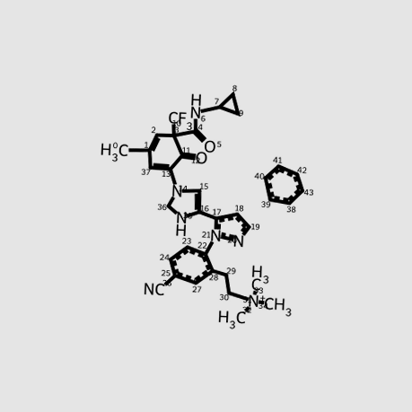 CC1=CC(C(=O)NC2CC2)(C(F)(F)F)C(=O)C(N2C=C(c3ccnn3-c3ccc(C#N)cc3CC[N+](C)(C)C)NC2)=C1.c1ccccc1